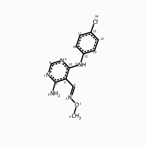 CON=Cc1c(N)ncnc1Nc1ccc(Cl)cc1